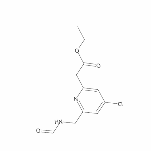 CCOC(=O)Cc1cc(Cl)cc(CNC=O)n1